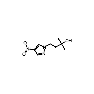 CC(C)(O)CCn1cc([N+](=O)[O-])cn1